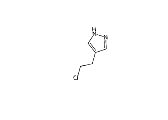 ClCCc1cn[nH]c1